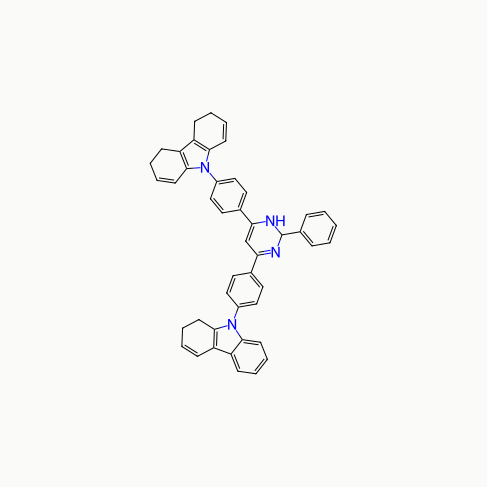 C1=Cc2c(c3c(n2-c2ccc(C4=CC(c5ccc(-n6c7c(c8ccccc86)C=CCC7)cc5)=NC(c5ccccc5)N4)cc2)C=CCC3)CC1